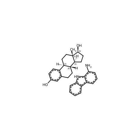 C[C@]12CC[C@@H]3c4ccc(O)cc4CC[C@H]3[C@@H]1CC[C@@H]2O.Nc1cccc2c1[nH]c1ccccc12